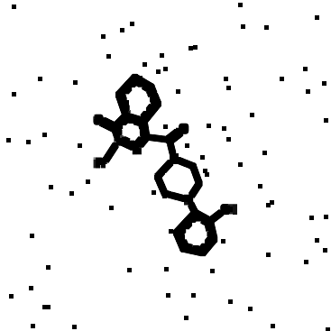 CC(C)n1nc(C(=O)N2CCN(c3ccccc3O)CC2)c2ccccc2c1=O